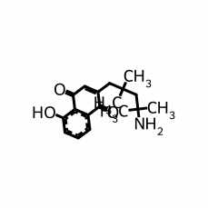 CC(C)(N)CC(C)(C)CC1=CC(=O)c2c(O)cccc2C1=O